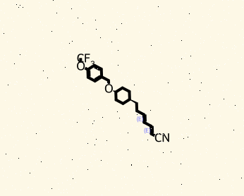 N#C/C=C/C=C/CC[C@H]1CC[C@H](OCc2ccc(OC(F)(F)F)cc2)CC1